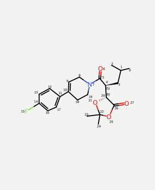 CC(C)C[C@H](C(=O)N1CC=C(c2ccc(F)cc2)CC1)[C@H]1OC(C)(C)OC1=O